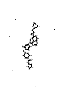 Cc1cc(Nc2ncnc3cnc(NCCN4CCOCC4)cc23)ccc1OC1CCN(C(=O)CC2CCCC2)CC1